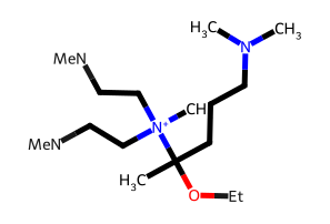 CCOC(C)(CCCN(C)C)[N+](C)(CCNC)CCNC